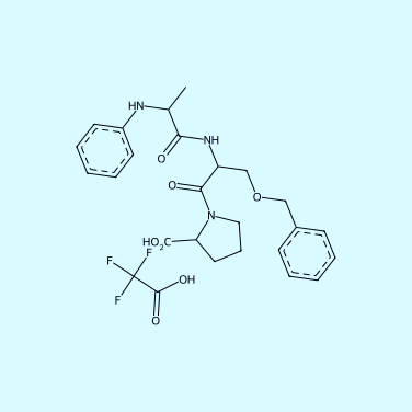 CC(Nc1ccccc1)C(=O)NC(COCc1ccccc1)C(=O)N1CCCC1C(=O)O.O=C(O)C(F)(F)F